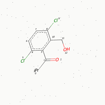 CC(C)C(=O)c1c(Cl)ccc(Cl)c1CO